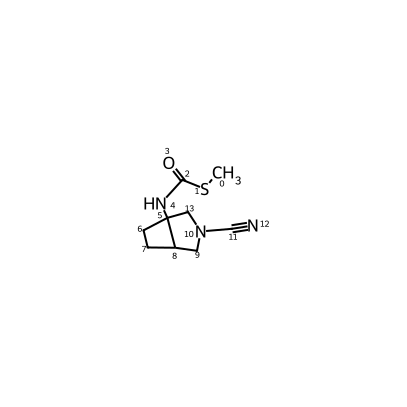 CSC(=O)NC12CCC1CN(C#N)C2